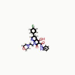 O=C(NC12CCC(CC1)CC2)c1c(O)c2cc(-c3ccc(F)cc3)cnc2n(CCN2CCOCC2)c1=O